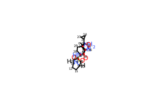 CC1(N)CCC(S(=O)(=O)N2[C@@H]3CC[C@H]2C[C@@H](NC(=O)c2cc(C4CC4)on2)C3)CC1